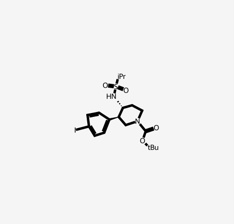 CC(C)S(=O)(=O)N[C@@H]1CCN(C(=O)OC(C)(C)C)C[C@H]1c1ccc(I)cc1